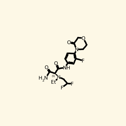 CCN(CC(F)F)[C@@H](C(N)=O)C(=O)Nc1ccc(N2CCOCC2=O)c(F)c1